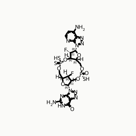 Nc1nc2c(nnn2[C@@H]2O[C@@H]3COP(=S)(S)O[C@H]4[C@H](F)[C@H](n5nnc6c(N)ccnc65)O[C@@H]4COP(=O)(S)O[C@@H]2[C@@H]3F)c(=O)[nH]1